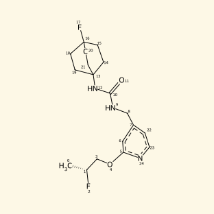 C[C@@H](F)COc1cc(CNC(=O)NC23CCC(F)(CC2)CC3)ccn1